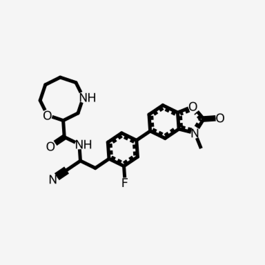 Cn1c(=O)oc2ccc(-c3ccc(CC(C#N)NC(=O)C4CNCCCCO4)c(F)c3)cc21